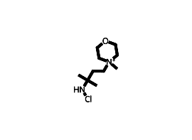 CC(C)(CC[N+]1(C)CCOCC1)NCl